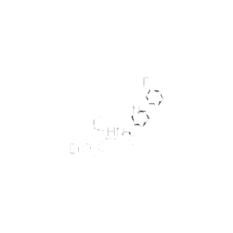 CCOC(=O)C(CNC(=O)c1ccc(-c2cccc(F)c2)nc1)C1CCCC1